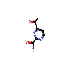 CC(=O)c1ccnc(C(=O)I)n1